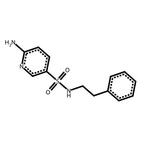 Nc1ccc(S(=O)(=O)NCCc2ccccc2)cn1